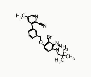 Cc1cnc(C#N)c(-c2cccc(COc3ccc4c(nnn4CC(C)(C)C)c3Br)c2)c1